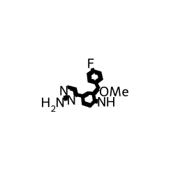 CO/C(=C1/C=C(c2ccnc(N)n2)C=CC1=N)c1ccc(F)cc1